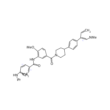 C=C/C(=C\NC)c1ccc(C2CCN(C(=O)c3ccc(OC)c(NC(=O)C(/C=C\C(=C)NC(C)C)=C/C)c3)CC2)cc1